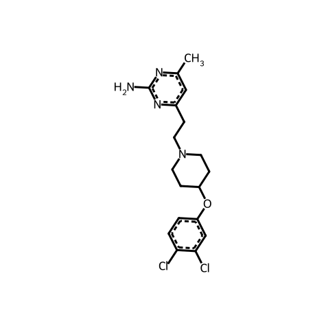 Cc1cc(CCN2CCC(Oc3ccc(Cl)c(Cl)c3)CC2)nc(N)n1